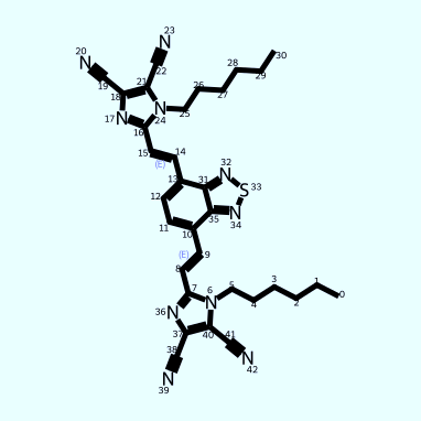 CCCCCCn1c(/C=C/c2ccc(/C=C/c3nc(C#N)c(C#N)n3CCCCCC)c3nsnc23)nc(C#N)c1C#N